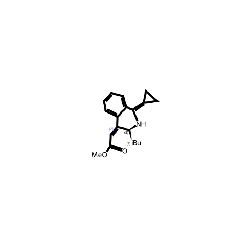 CC[C@H](C)[C@@H]1NC(=C2CC2)c2ccccc2/C1=C/C(=O)OC